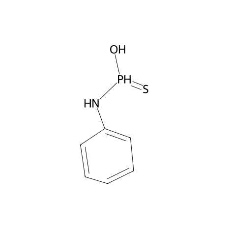 O[PH](=S)Nc1ccccc1